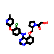 Cc1ccc(Oc2ccc(Nc3ncnc4cccc(OC[C@H]5CCCN5C(=O)CO)c34)cc2Cl)cn1